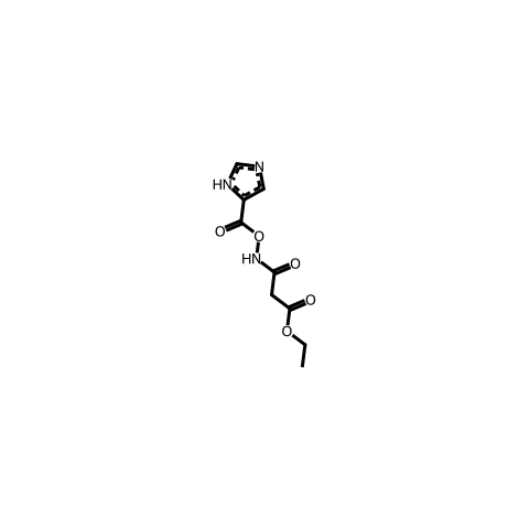 CCOC(=O)CC(=O)NOC(=O)c1cnc[nH]1